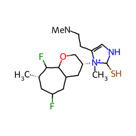 CNCCC1=CNC(S)[N+]1(C)[C@H]1COC2C(CC(F)C[C@H](C)C2F)C1